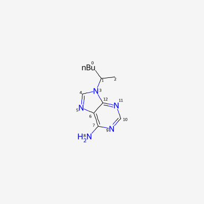 CCCCC(C)n1cnc2c(N)ncnc21